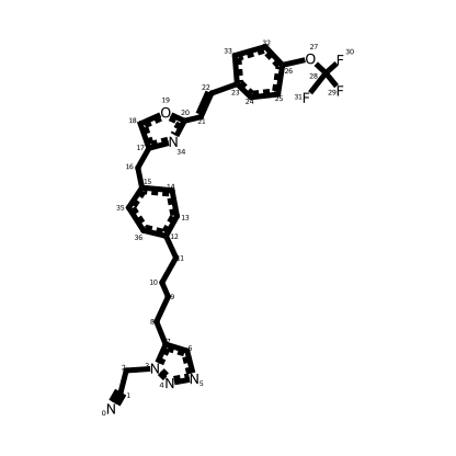 N#CCn1nncc1CCCCc1ccc(Cc2coc(/C=C/c3ccc(OC(F)(F)F)cc3)n2)cc1